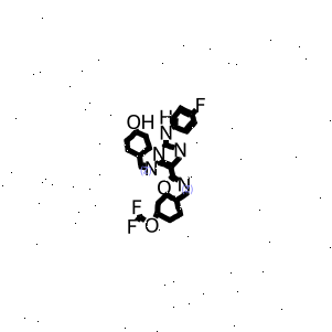 O=C(/N=C\C1CCC(OC(F)F)CC1)c1cnc(Nc2ccc(F)cc2)nc1/N=C\C1CCC(O)CC1